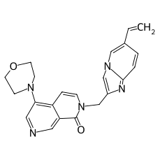 C=Cc1ccc2nc(Cn3ccc4c(N5CCOCC5)cncc4c3=O)cn2c1